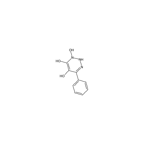 OC1=C(O)N(O)NN=C1c1ccccc1